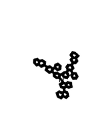 c1ccc(-c2cc(-c3ccc4ccccc4c3)ccc2-c2ccc3c(c2)c2cc(-c4ccc(-c5ccc6ccccc6c5)cc4-c4ccccc4)ccc2n3-c2ccc(-c3cccc4ccccc34)c3ccccc23)cc1